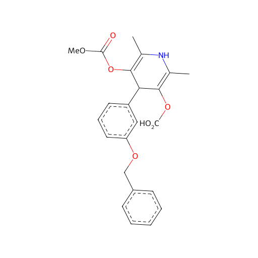 COC(=O)OC1=C(C)NC(C)=C(OC(=O)O)C1c1cccc(OCc2ccccc2)c1